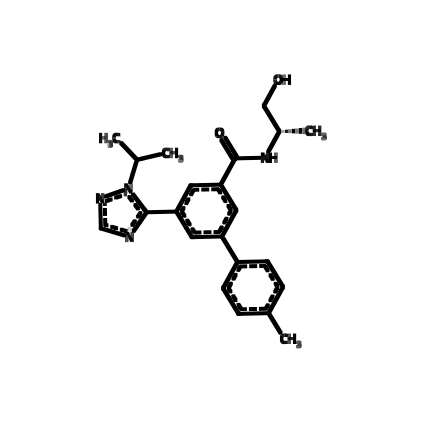 Cc1ccc(-c2cc(C(=O)N[C@@H](C)CO)cc(-c3ncnn3C(C)C)c2)cc1